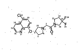 O=C(CN1CC[C@H](Oc2ccc(Cl)c3cccnc23)C1)N1CCC(F)(F)C1